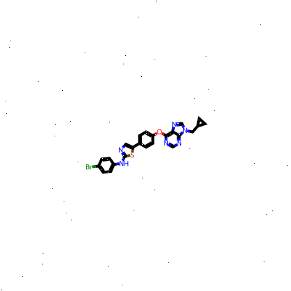 Brc1ccc(Nc2ncc(-c3ccc(Oc4ncnc5c4ncn5CC4CC4)cc3)s2)cc1